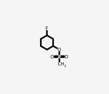 CS(=O)(=O)OC1CCCC(F)C1